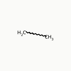 C=CCC=CC=CCCCCCCCC